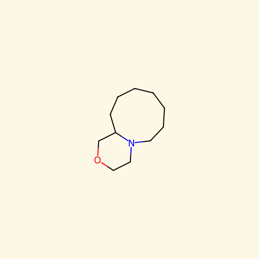 C1CCCC2COCCN2CCC1